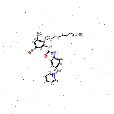 CCCCCCCCCCCCCCCCOc1c(CC(=O)Nc2ccc(C[n+]3ccccc3)cc2)cccc1C(C)=O.[Br-]